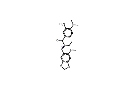 CC/C(=C\c1cc2c(cc1OC)OCO2)C(=O)c1ccc(N(C)C)c(N)c1